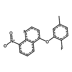 Cc1ccc(F)c(Oc2ccnc3c([N+](=O)[O-])cccc23)c1